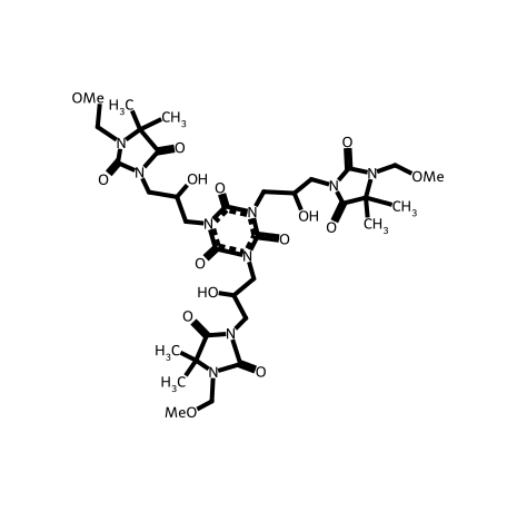 COCN1C(=O)N(CC(O)Cn2c(=O)n(CC(O)CN3C(=O)N(COC)C(C)(C)C3=O)c(=O)n(CC(O)CN3C(=O)N(COC)C(C)(C)C3=O)c2=O)C(=O)C1(C)C